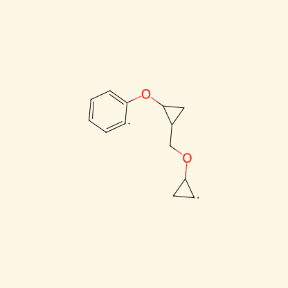 [c]1ccccc1OC1CC1COC1[CH]C1